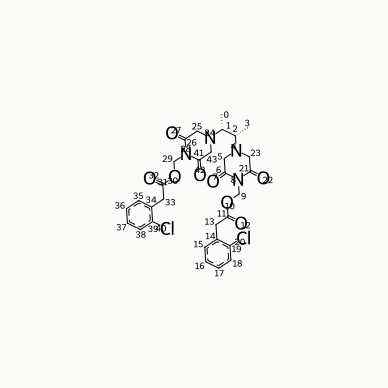 C[C@H]([C@H](C)N1CC(=O)N(COC(=O)Cc2ccccc2Cl)C(=O)C1)N1CC(=O)N(COC(=O)Cc2ccccc2Cl)C(=O)C1